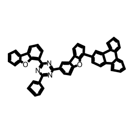 c1ccc(-c2nc(-c3ccc4oc5c(-c6ccc7c8ccccc8c8ccccc8c7c6)cccc5c4c3)nc(-c3cccc4c3oc3ccccc34)n2)cc1